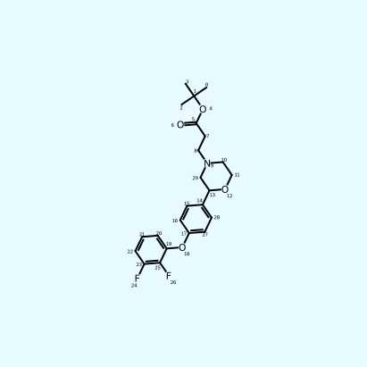 CC(C)(C)OC(=O)CCN1CCOC(c2ccc(Oc3cccc(F)c3F)cc2)C1